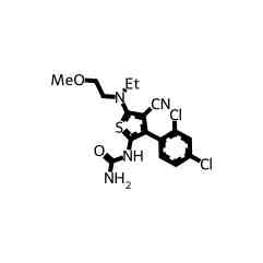 CCN(CCOC)c1sc(NC(N)=O)c(-c2ccc(Cl)cc2Cl)c1C#N